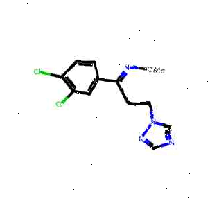 CON=C(CCn1cncn1)c1ccc(Cl)c(Cl)c1